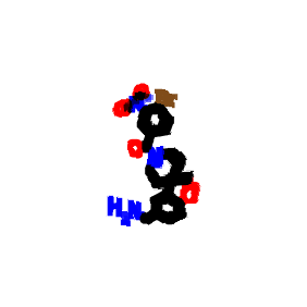 NCc1ccc2c(c1)C1(CCN(C(=O)c3ccc(Br)c([N+](=O)[O-])c3)CC1)CO2